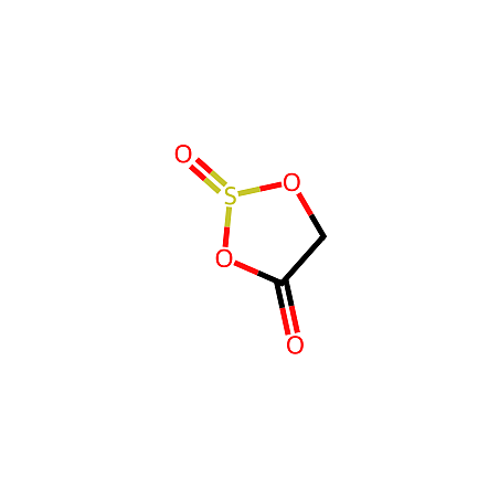 O=C1COS(=O)O1